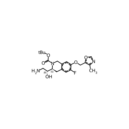 Cc1ncoc1COc1cc2c(cc1F)C[C@@H]([C@H](O)CN)N(C(=O)OC(C)(C)C)C2